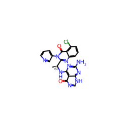 C[C@H](Nc1nc(N)nc2[nH]cnc(=O)c12)c1nc2cccc(Cl)c2c(=O)n1-c1cccnc1